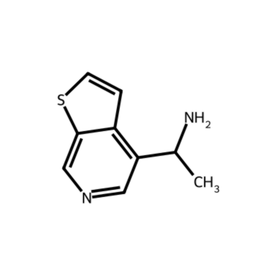 CC(N)c1cncc2sccc12